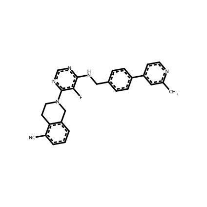 Cc1cc(-c2ccc(CNc3ncnc(N4CCc5c(C#N)cccc5C4)c3F)cc2)ccn1